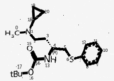 CN(CC[C@H](CSc1ccccc1)NC(=O)OC(C)(C)C)C1CC1